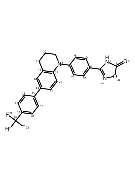 O=c1[nH]c(-c2ccc(N3CCCc4cc(-c5ccc(C(F)(F)F)cc5)ccc43)cc2)no1